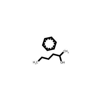 CCCCC(C)O.c1ccccc1